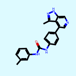 Cc1cccc(NC(=O)Nc2ccc(-c3cncc4[nH]nc(C)c34)cc2)c1